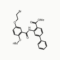 CCCCOc1ccc(OCCBr)cc1C(=O)Nc1cc(-c2ccccc2)ccc1C(=O)OC